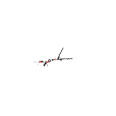 CCCCCCCCCCCC(=O)OCC(CSCCC(=O)Nc1ccc(C(=O)N[C@@H](CCC(=O)OC(C)(C)C)C(=O)OC(C)(C)C)cc1)OC(=O)CCCCCCCCCCC